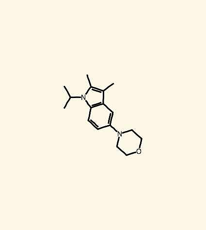 Cc1c(C)n(C(C)C)c2ccc(N3CCOCC3)cc12